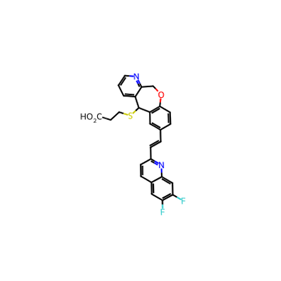 O=C(O)CCSC1c2cc(C=Cc3ccc4cc(F)c(F)cc4n3)ccc2OCc2ncccc21